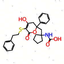 O=C(O)NC1(CC2(c3ccccc3)CC(O)=C(SCCc3ccccc3)C(=O)O2)CCCC1